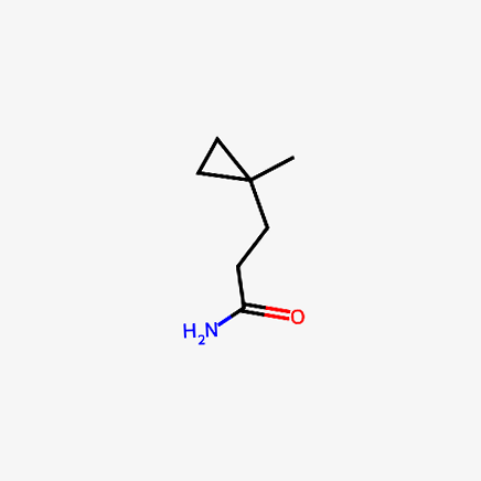 CC1(CCC(N)=O)CC1